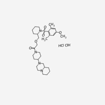 COc1cc(C)c(S(=O)(=O)N2CCCCC2COCC(=O)N2CCC(N3CCN4CCCCC4C3)CC2)c(C)c1.Cl.Cl